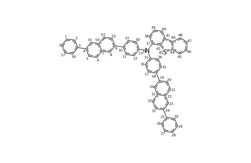 c1ccc(-c2ccc3cc(-c4ccc(N(c5ccc(-c6ccc7cc(-c8ccccc8)ccc7c6)cc5)c5cccc6c5sc5ccccc56)cc4)ccc3c2)cc1